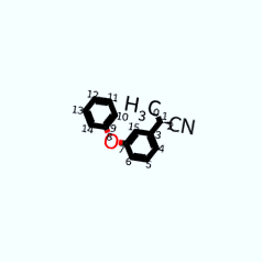 C[C@H](C#N)c1cccc(Oc2ccccc2)c1